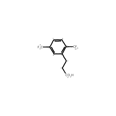 O=C(O)CCc1cc(C(F)(F)F)ccc1C(F)(F)F